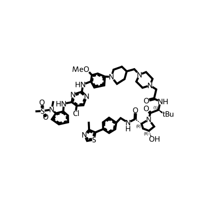 COc1cc(N2CCC(CN3CCN(CC(=O)N[C@H](C(=O)N4C[C@H](O)C[C@@H]4C(=O)NCc4ccc(-c5scnc5C)cc4)C(C)(C)C)CC3)CC2)ccc1Nc1ncc(Cl)c(Nc2ccccc2N(C)S(C)(=O)=O)n1